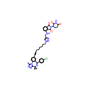 Cc1nnc2n1-c1ccc(C#CCCCCCCn3cc(CNc4cccc5c4C(=O)N(C4CCC(=O)NC4=O)C5=O)nn3)cc1C(c1ccc(Cl)cc1)=NC21CC1